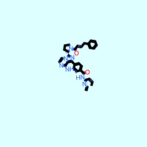 C=C/N=C(\C=C/C)NC(=O)c1ccc(-c2nc([C@@H]3CCCN3C(=O)/C=C/Cc3ccccc3)n3ccnc(N)c23)cc1